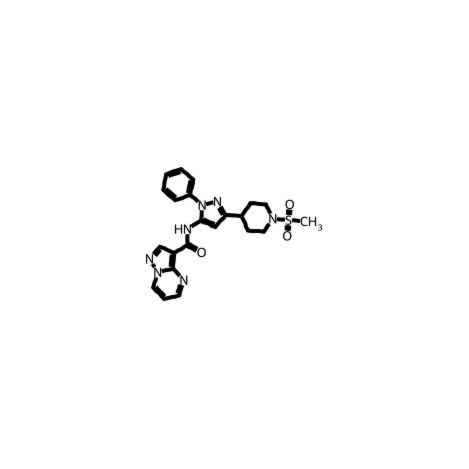 CS(=O)(=O)N1CCC(c2cc(NC(=O)c3cnn4cccnc34)n(-c3ccccc3)n2)CC1